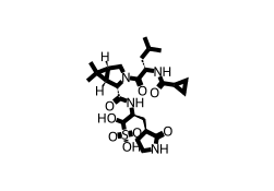 CC(C)C[C@H](NC(=O)C1CC1)C(=O)N1C[C@H]2[C@@H]([C@H]1C(=O)N[C@@H](C[C@@H]1CCNC1=O)C(O)S(=O)(=O)O)C2(C)C